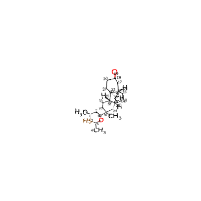 CCC[C@H](OC(C)S)[C@@]1(C)CC[C@H]2[C@@H](CC[C@H]3CC(=O)CC[C@@]32C)C1